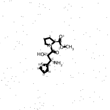 COC(=O)[C@@H]1CCCN1C(=O)[C@@H](O)[C@H](N)c1cccs1